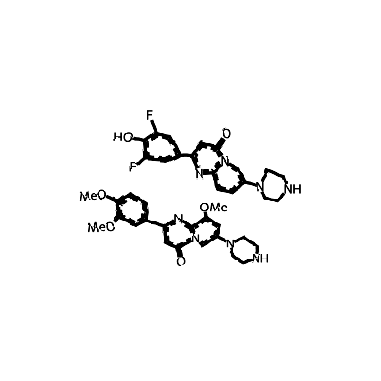 COc1ccc(-c2cc(=O)n3cc(N4CCNCC4)cc(OC)c3n2)cc1OC.O=c1cc(-c2cc(F)c(O)c(F)c2)nc2ccc(N3CCNCC3)cn12